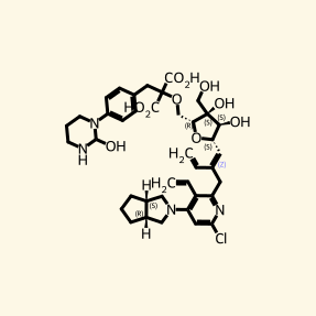 C=C/C(=C\[C@@H]1O[C@H](COC(Cc2ccc(N3CCCNC3O)cc2)(C(=O)O)C(=O)O)[C@](O)(CO)[C@H]1O)Cc1nc(Cl)cc(N2C[C@H]3CCC[C@H]3C2)c1C=C